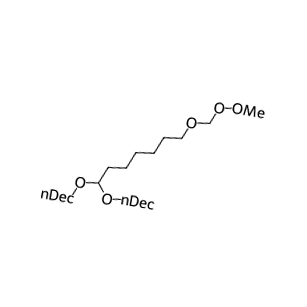 CCCCCCCCCCOC(CCCCCCOCOOC)OCCCCCCCCCC